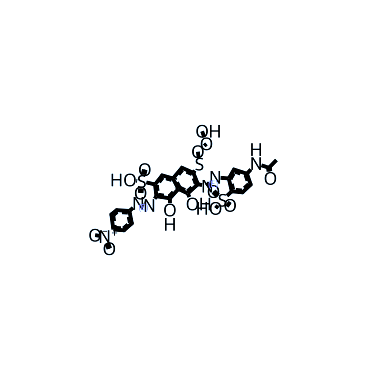 CC(=O)Nc1ccc(S(=O)(=O)O)c(/N=N/c2c(SOOO)cc3cc(S(=O)(=O)O)c(/N=N/c4ccc([N+](=O)[O-])cc4)c(O)c3c2O)c1